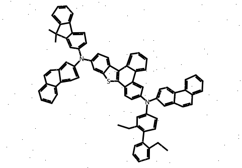 CCc1ccccc1-c1ccc(N(c2ccc3c(ccc4ccccc43)c2)c2ccc3c(c2)c2ccccc2c2c4ccc(N(c5ccc6c(c5)C(C)(C)c5ccccc5-6)c5ccc6c(ccc7ccccc76)c5)cc4sc32)cc1CC